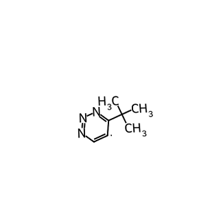 CC(C)(C)c1[c]cnnn1